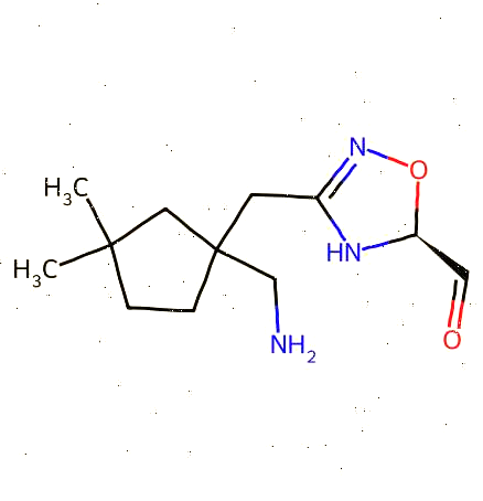 CC1(C)CCC(CN)(CC2=NO[C@@H](C=O)N2)C1